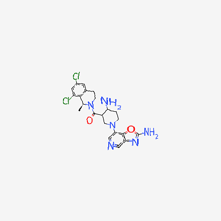 C[C@H]1c2c(Cl)cc(Cl)cc2CCN1C(=O)C1CN(c2cncc3nc(N)oc23)CCC1N